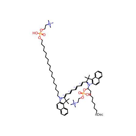 CCCCCCCCCCCCCCCCCC(OP(=O)(O)OCC[N+](C)(C)C)[N+]1=C(/C=C/C=C/C=C/C=C2/N(CCCCCCCCCCCCCCCCCCOP(=O)(O)OCC[N+](C)(C)C)c3ccc4ccccc4c3C2(C)C)C(C)(C)c2c1ccc1ccccc21